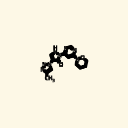 Cc1cn(-c2c[nH]n(-c3cc(N4CCCCO4)ncn3)c2=O)nn1